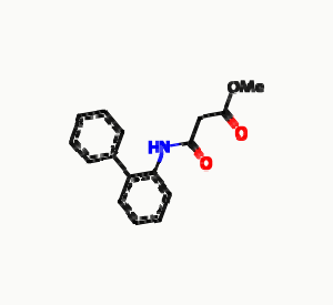 COC(=O)CC(=O)Nc1ccccc1-c1ccccc1